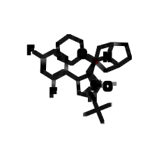 C[S+]([O-])CC1(C2CCCCC2)CC2CCC(C1)N2C(=O)C1CN(C(C)(C)C)CC1c1ccc(F)cc1F